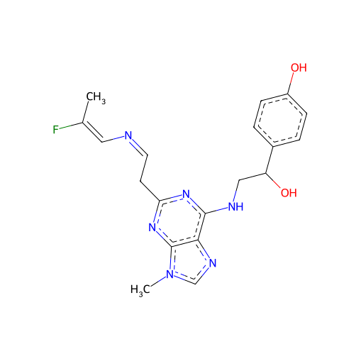 C/C(F)=C\N=C/Cc1nc(NCC(O)c2ccc(O)cc2)c2ncn(C)c2n1